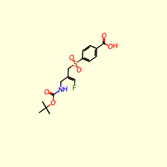 CC(C)(C)OC(=O)NCC(=CF)CS(=O)(=O)c1ccc(C(=O)O)cc1